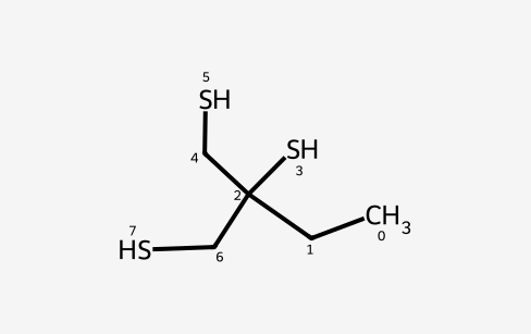 CCC(S)(CS)CS